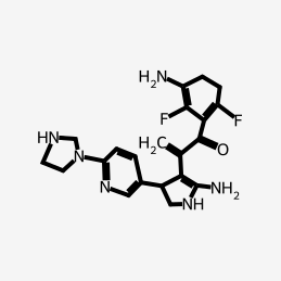 C=C(C(=O)C1=C(F)CCC(N)=C1F)C1=C(N)NCC1c1ccc(N2CCNC2)nc1